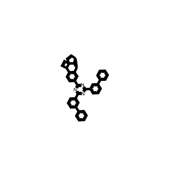 C1=CC23C=CC2c2ccc(-c4nc(-c5cccc(-c6ccccc6)c5)nc(-c5cccc(-c6ccccc6)c5)n4)cc2C2C1C23